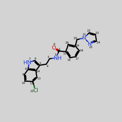 O=C(NCCc1c[nH]c2ccc(Cl)cc12)c1cccc(Cn2cccn2)c1